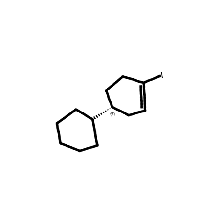 IC1=CC[C@H](C2CCCCC2)CC1